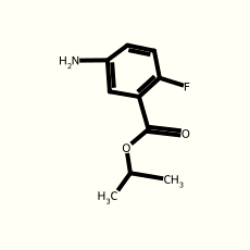 CC(C)OC(=O)c1cc(N)ccc1F